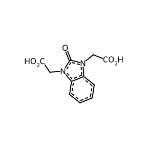 O=C(O)Cn1c(=O)n(CC(=O)O)c2ccccc21